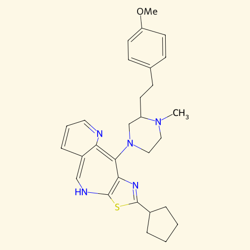 COc1ccc(CCC2CN(C3=c4ncccc4=CNc4sc(C5CCCC5)nc43)CCN2C)cc1